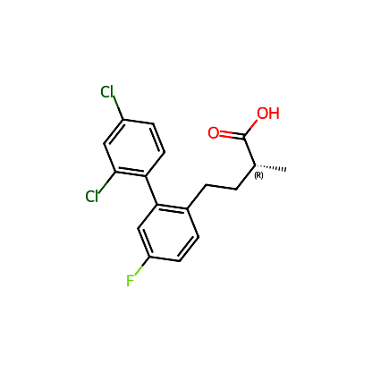 C[C@H](CCc1ccc(F)cc1-c1ccc(Cl)cc1Cl)C(=O)O